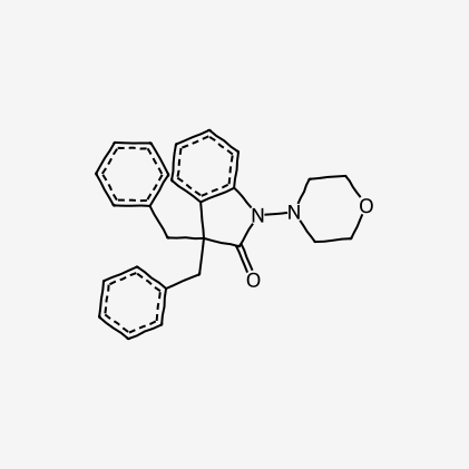 O=C1N(N2CCOCC2)c2ccccc2C1(Cc1ccccc1)Cc1ccccc1